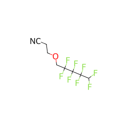 N#CCCOCC(F)(F)C(F)(F)C(F)(F)C(F)F